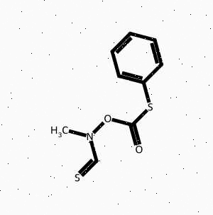 CN([C]=S)OC(=O)Sc1ccccc1